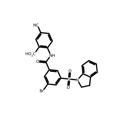 N#Cc1ccc(NC(=O)c2cc(Br)cc(S(=O)(=O)N3CCc4ccccc43)c2)c(C(=O)O)c1